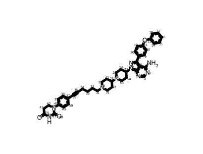 Nc1ncnc2c1c(-c1ccc(Oc3ccccc3)cc1)nn2C1CCN(C2CCN(CCCCC#Cc3ccc(N4CCC(=O)NC4=O)cc3)CC2)CC1